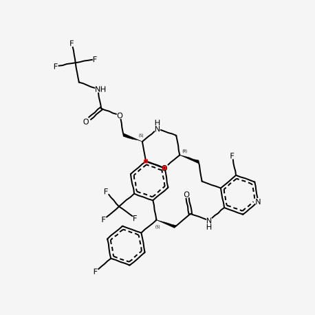 O=C(C[C@@H](c1ccc(F)cc1)c1ccccc1C(F)(F)F)Nc1cncc(F)c1CC[C@@H]1CN[C@H](COC(=O)NCC(F)(F)F)CO1